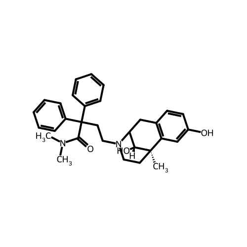 CN(C)C(=O)C(CCN1CC[C@]2(C)c3cc(O)ccc3CC1[C@H]2O)(c1ccccc1)c1ccccc1